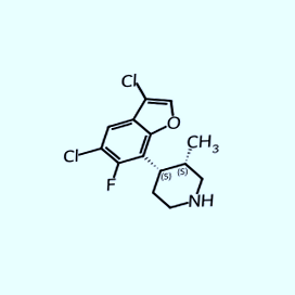 C[C@@H]1CNCC[C@@H]1c1c(F)c(Cl)cc2c(Cl)coc12